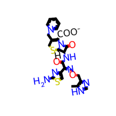 Cc1[nH]cnc1CON=C(C(=O)N[C@@H]1C(=O)N2C(C(=O)[O-])=C(C[n+]3ccccc3)CS[C@@H]12)c1csc(N)n1